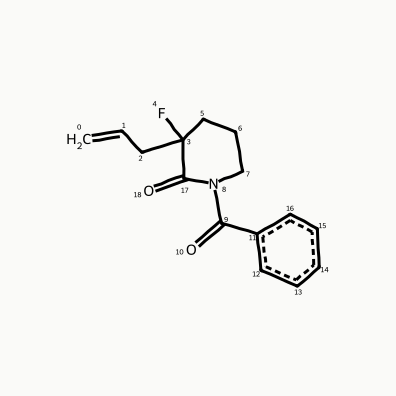 C=CCC1(F)CCCN(C(=O)c2ccccc2)C1=O